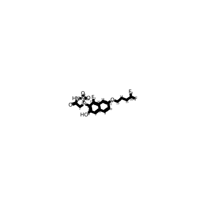 O=C1CN(c2c(O)cc3ccc(OCCCC(F)F)cc3c2F)S(=O)(=O)N1